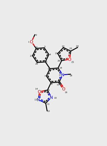 COc1ccc(-c2cc(-c3nc(C)no3)c(=O)n(C)c2-c2ccc(C)o2)cc1